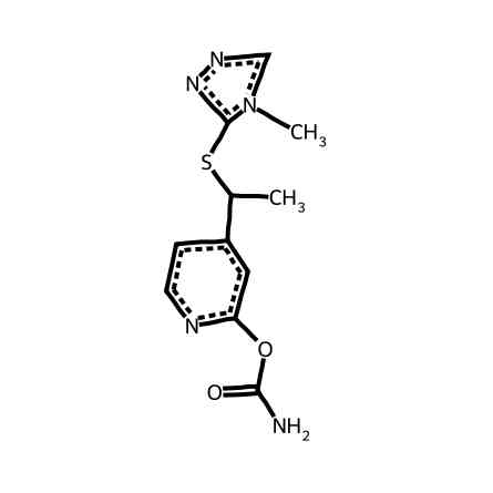 CC(Sc1nncn1C)c1ccnc(OC(N)=O)c1